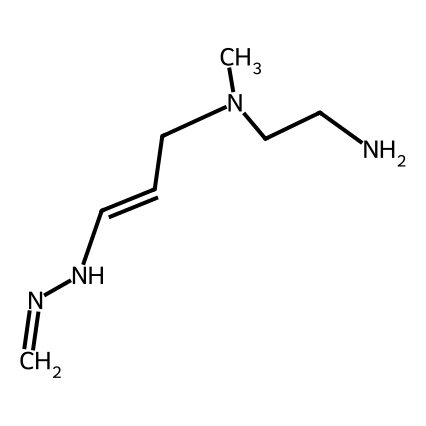 C=NN/C=C/CN(C)CCN